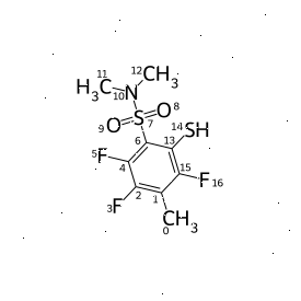 Cc1c(F)c(F)c(S(=O)(=O)N(C)C)c(S)c1F